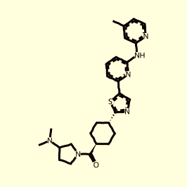 Cc1ccnc(Nc2cccc(-c3cnc([C@H]4CC[C@H](C(=O)N5CCC(N(C)C)C5)CC4)s3)n2)c1